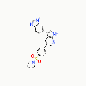 Cn1cnc2ccc(-c3c[nH]c4ncc(-c5ccc(S(=O)(=O)N6CCCC6)cc5)cc34)cc21